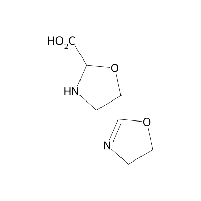 C1=NCCO1.O=C(O)C1NCCO1